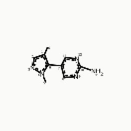 Cc1cnn(C)c1-c1cnc(N)nc1